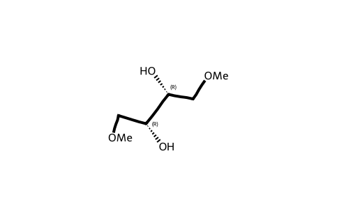 COC[C@@H](O)[C@H](O)COC